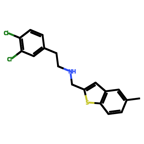 Cc1ccc2sc(CNCCc3ccc(Cl)c(Cl)c3)cc2c1